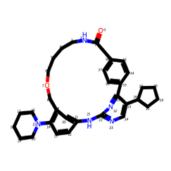 O=C1NCCCCOCc2cc(ccc2N2CCCCC2)Nc2ncc(C3CCCC3)c(n2)-c2ccc1cc2